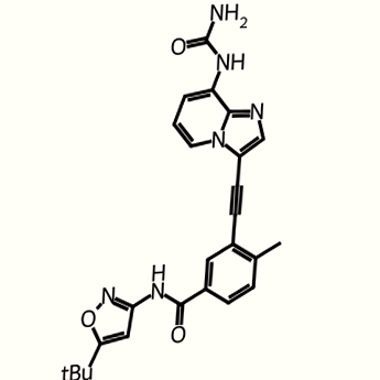 Cc1ccc(C(=O)Nc2cc(C(C)(C)C)on2)cc1C#Cc1cnc2c(NC(N)=O)cccn12